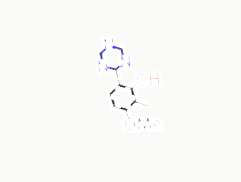 COc1ccc(-c2ncncn2)c(O)c1C